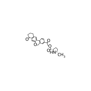 C[C@H]1CC[C@@H](C(=O)OCC(=O)c2ccc3c(c2)COc2cc4c(cc2-3)CCCC4=O)N1